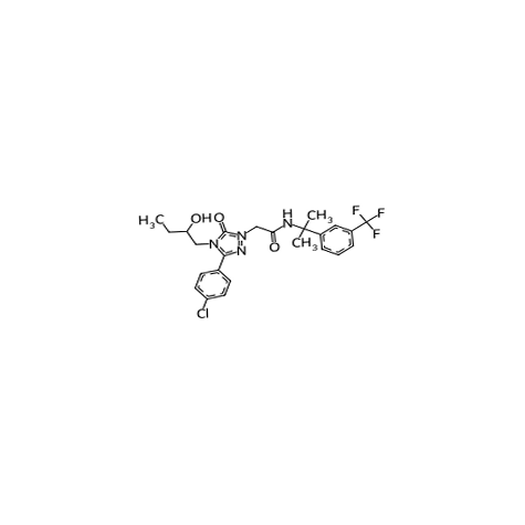 CCC(O)Cn1c(-c2ccc(Cl)cc2)nn(CC(=O)NC(C)(C)c2cccc(C(F)(F)F)c2)c1=O